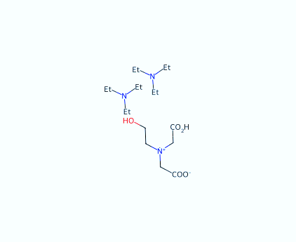 CCN(CC)CC.CCN(CC)CC.O=C([O-])C[N+](CCO)CC(=O)O